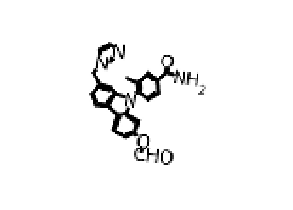 Cc1cc(C(N)=O)ccc1-n1c2cc(Cn3ccnc3)ccc2c2ccc(OC=O)cc21